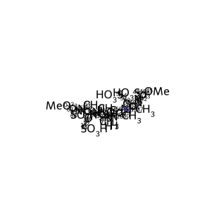 COc1ccc(N=Nc2cc(OCCCS(=O)(=O)O)c(N=Nc3cc(C)c(NC(=O)Nc4cc(C)c(/N=N/c5cc(C)c(N=Nc6ccc(OC)cc6S(=O)(=O)O)cc5OCCCS(=O)(=O)O)cc4C)cc3C)cc2C)c(S(=O)(=O)O)c1